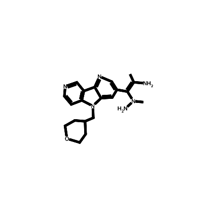 C/C(N)=C(\c1cnc2c3cnccc3n(CC3CCOCC3)c2c1)N(C)N